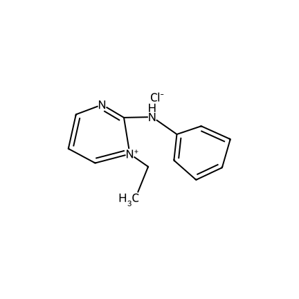 CC[n+]1cccnc1Nc1ccccc1.[Cl-]